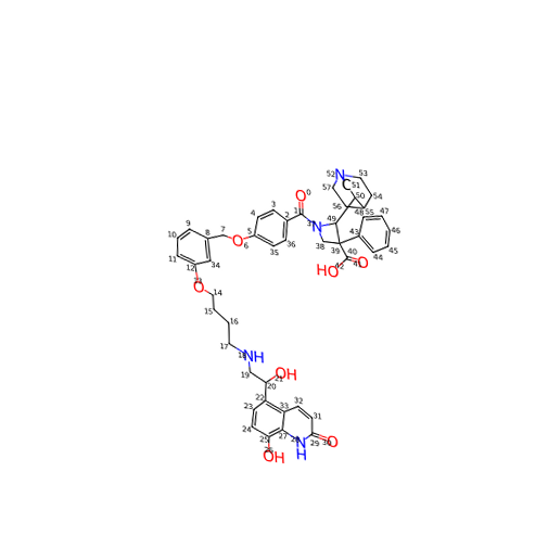 O=C(c1ccc(OCc2cccc(OCCCCNCC(O)c3ccc(O)c4[nH]c(=O)ccc34)c2)cc1)N1CC(C(=O)O)(c2ccccc2)C1C1CN2CCC1CC2